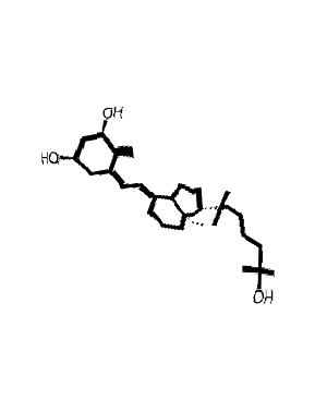 C=C1/C(=C\C=C2CCC[C@@]3(C)C2CC[C@@H]3C(C)(C)CCCC(C)(C)O)C[C@@H](O)C[C@H]1O